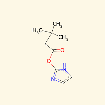 CC(C)(C)CC(=O)Oc1ncc[nH]1